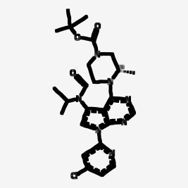 CC(C)N(C=O)c1cn(-c2cc(Cl)ccn2)c2ncnc(N3CCN(C(=O)OC(C)(C)C)C[C@@H]3C)c12